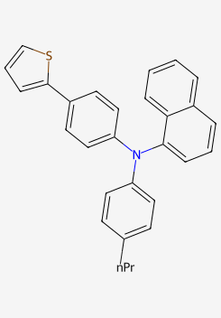 CCCc1ccc(N(c2ccc(-c3cccs3)cc2)c2cccc3ccccc23)cc1